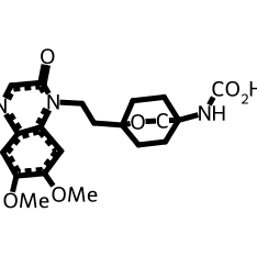 COc1cc2ncc(=O)n(CCC34CCC(NC(=O)O)(CC3)CO4)c2cc1OC